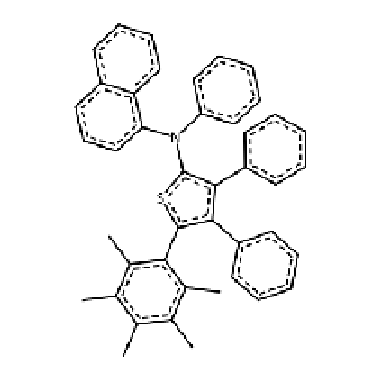 Cc1c(C)c(C)c(-c2sc(N(c3ccccc3)c3cccc4ccccc34)c(-c3ccccc3)c2-c2ccccc2)c(C)c1C